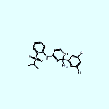 CC(C)S(=O)(=O)c1ccccc1NC1=NC(N)(c2cc(Cl)cc(Cl)c2)NC=C1